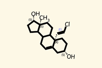 C[C@]12CCC3C(CC=C4C[C@@H](O)CC[C@@]43/C=C/Cl)C1CC[C@@H]2O